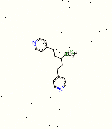 Cl.Cl.O=C(O)C(CCc1ccncc1)CCc1ccncc1